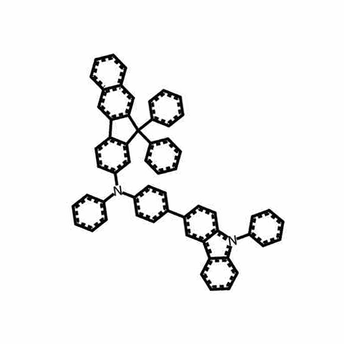 c1ccc(N(c2ccc(-c3ccc4c(c3)c3ccccc3n4-c3ccccc3)cc2)c2ccc3c(c2)C(c2ccccc2)(c2ccccc2)c2cc4ccccc4cc2-3)cc1